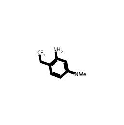 CNc1ccc(CC(F)(F)F)c(N)c1